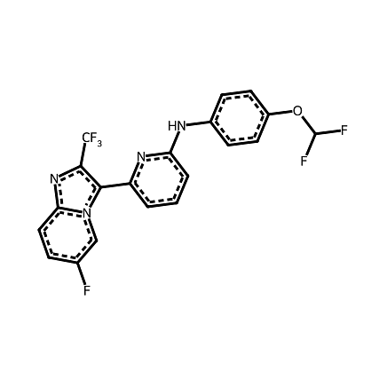 Fc1ccc2nc(C(F)(F)F)c(-c3cccc(Nc4ccc(OC(F)F)cc4)n3)n2c1